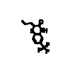 CCCC1Sc2ccc(C(F)(F)F)cc2NC1=O